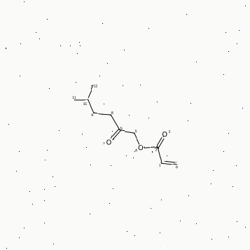 C=CC(=O)OCC(=O)CCC(C)C